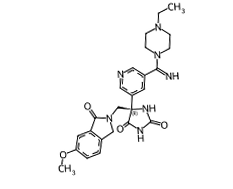 CCN1CCN(C(=N)c2cncc([C@]3(CN4Cc5ccc(OC)cc5C4=O)NC(=O)NC3=O)c2)CC1